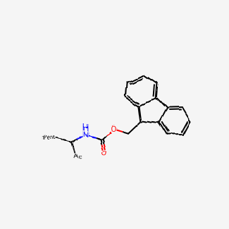 CCCCCC(NC(=O)OCC1c2ccccc2-c2ccccc21)C(C)=O